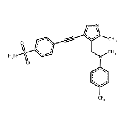 CN(Cc1c(C#Cc2ccc(S(N)(=O)=O)cc2)cnn1C)c1ccc(C(F)(F)F)cc1